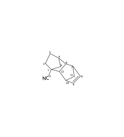 N#CC12CCC(C1)C1C3C=CC(C3)C12